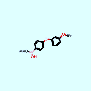 COB(O)c1ccc(Oc2cccc(OC(C)C)c2)cc1